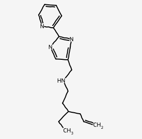 C=CCC(CC)CCNCc1cnc(-c2ccccn2)nc1